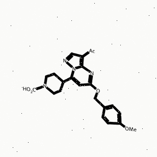 COc1ccc(COc2cc(C3CCN(C(=O)O)CC3)n3ncc(C(C)=O)c3n2)cc1